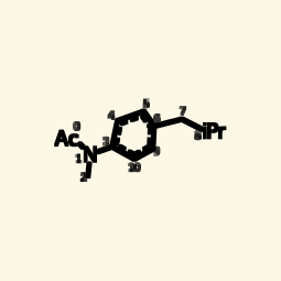 CC(=O)N(C)c1ccc(CC(C)C)cc1